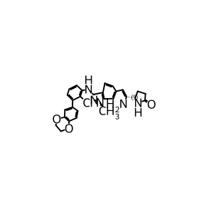 Cn1nc(Nc2cccc(-c3ccc4c(c3)OCCO4)c2Cl)c2ccc(C=C(N)[C@@H]3CCC(=O)N3)cc21